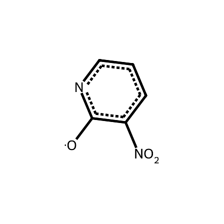 [O]c1ncccc1[N+](=O)[O-]